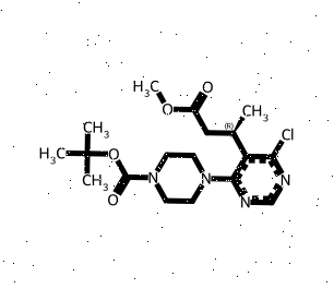 COC(=O)C[C@@H](C)c1c(Cl)ncnc1N1CCN(C(=O)OC(C)(C)C)CC1